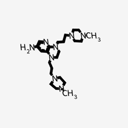 CN1CCN(CCCN2CCN(CCCN3CCN(C)CC3)c3ncc(N)cc32)CC1